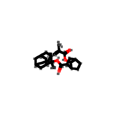 C=C(C(=O)OC1C2CCC1C(C(=O)OC1(CC)C3CC4CC(C3)CC1C4)C2)C(F)(F)F